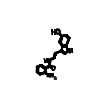 Nc1ccccc1C(=O)NCCc1c[nH]c2ccc(O)cc12